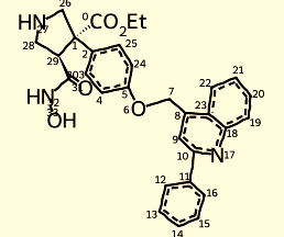 CCOC(=O)[C@@]1(c2ccc(OCc3cc(-c4ccccc4)nc4ccccc34)cc2)CNC[C@@H]1C(=O)NO